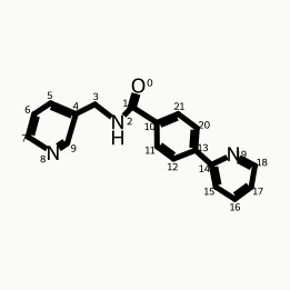 O=C(NCc1cccnc1)c1ccc(-c2ccccn2)cc1